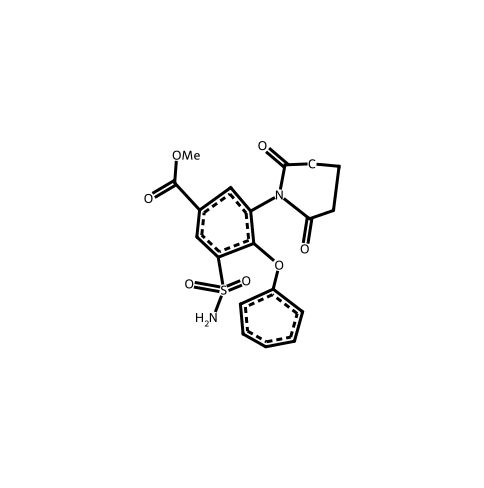 COC(=O)c1cc(N2C(=O)CCCC2=O)c(Oc2ccccc2)c(S(N)(=O)=O)c1